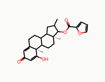 CC1CC2C3CCC4=CC(=O)C=C(O)[C@]4(C)C3CC[C@]2(C)C1OC(=O)c1ccco1